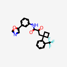 O=C(CC1(c2ccccc2C(F)(F)F)CCC1)C(=O)Nc1cccc(-c2cnco2)c1